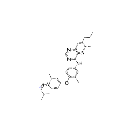 CCCc1cc2ncnc(Nc3ccc(OC4=CC(C)N(/N=C\C(C)C)C=C4)c(C)c3)c2nc1C